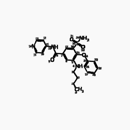 CCCCNc1cc(C(=O)Nc2ccncc2)cc(S(N)(=O)=O)c1Oc1ccccc1